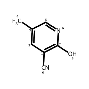 N#Cc1cc(C(F)(F)F)cnc1O